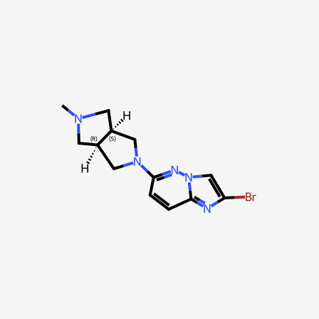 CN1C[C@@H]2CN(c3ccc4nc(Br)cn4n3)C[C@@H]2C1